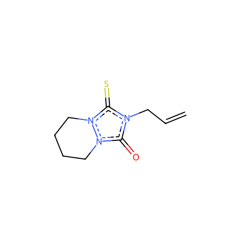 C=CCn1c(=O)n2n(c1=S)CCCC2